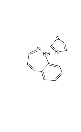 C1=Cc2ccccc2NN=C1.c1cscn1